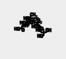 CC(=O)O.CC(=O)O.CC(=O)O.CC(=O)O.O=C(O)CS.OCC(CO)(CO)CO